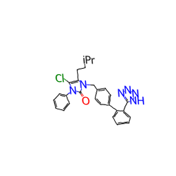 CC(C)CCc1c(Cl)n(-c2ccccc2)c(=O)n1Cc1ccc(-c2ccccc2-c2nnn[nH]2)cc1